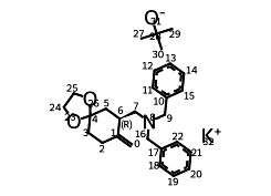 C=C1CCC2(C[C@H]1CN(Cc1ccccc1)Cc1ccccc1)OCCO2.CC(C)(C)[O-].[K+]